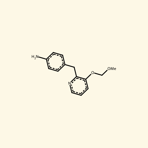 COCOc1cccnc1Cc1ccc(N)cc1